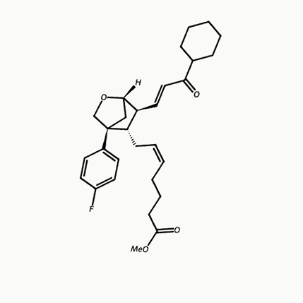 COC(=O)CCC/C=C\C[C@H]1[C@H](/C=C/C(=O)C2CCCCC2)[C@@H]2C[C@@]1(c1ccc(F)cc1)CO2